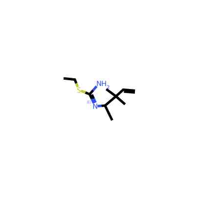 C=CC(C)(C)C(C)/N=C(\N)SCC